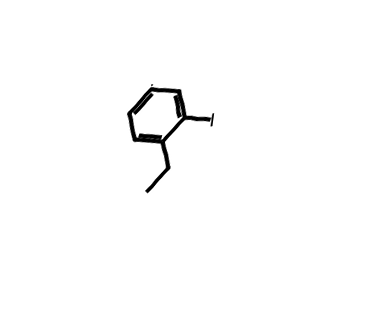 CCc1cc[c]cc1I